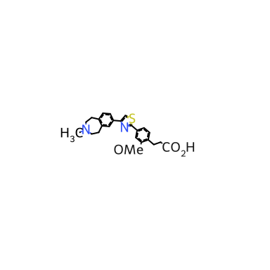 COc1cc(-c2nc(-c3ccc4c(c3)CCN(C)CC4)cs2)ccc1CCC(=O)O